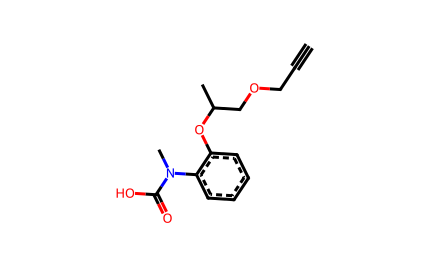 C#CCOCC(C)Oc1ccccc1N(C)C(=O)O